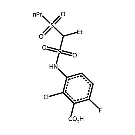 CCCS(=O)(=O)C(CC)S(=O)(=O)Nc1ccc(F)c(C(=O)O)c1Cl